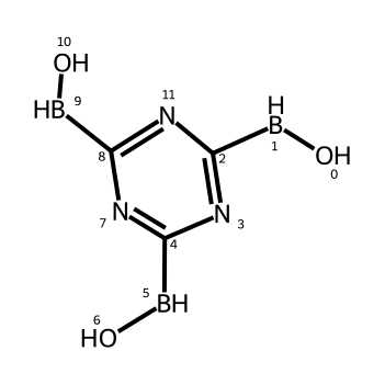 OBc1nc(BO)nc(BO)n1